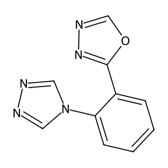 c1ccc(-n2cnnc2)c(-c2nnco2)c1